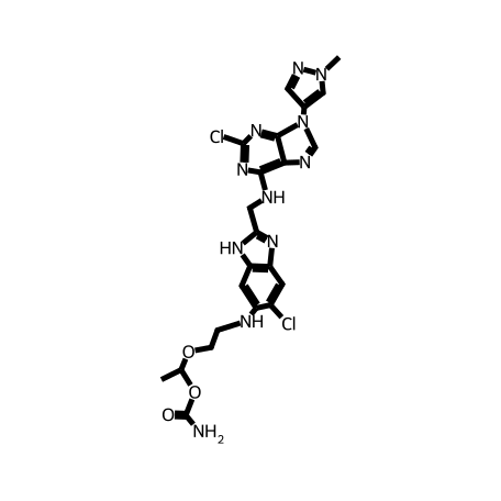 CC(OCCNc1cc2[nH]c(CNc3nc(Cl)nc4c3ncn4-c3cnn(C)c3)nc2cc1Cl)OC(N)=O